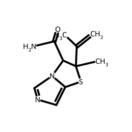 C=C(C)C1(C)Sc2cncn2C1C(N)=O